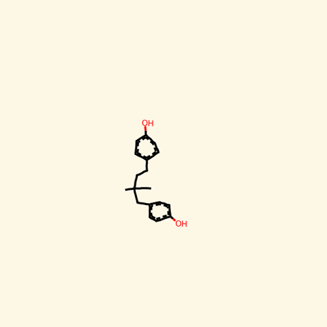 CC(C)(CCc1ccc(O)cc1)Cc1ccc(O)cc1